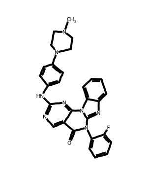 CN1CCN(c2ccc(Nc3ncc4c(=O)n(-c5ccccc5F)c5nc6ccccc6n5c4n3)cc2)CC1